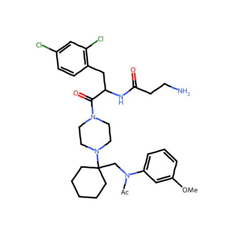 COc1cccc(N(CC2(N3CCN(C(=O)C(Cc4ccc(Cl)cc4Cl)NC(=O)CCN)CC3)CCCCC2)C(C)=O)c1